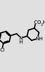 O=C(O)C1CNCC(NCc2cccc(Cl)c2)C1